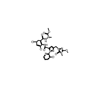 COC(=O)N(C)NC(=O)C1=C(NC(=O)c2cc(Cn3nc(OC)n(C)c3=O)nn2-c2ncccc2Cl)C(Cl)=CC(Cl)C1